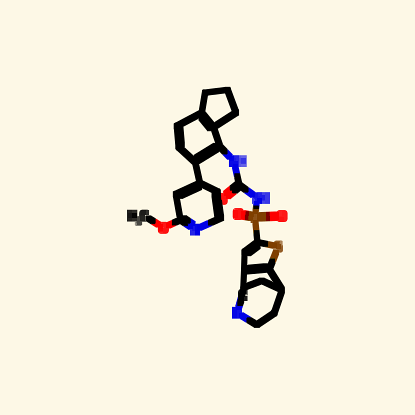 COc1cc(-c2ccc3c(c2NC(=O)NS(=O)(=O)c2cc4c(s2)C2CCN(CC2)C4)CCC3)ccn1